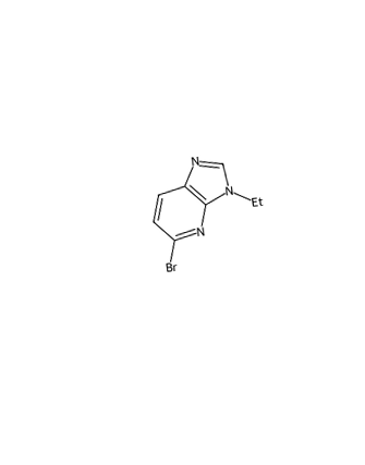 CCn1cnc2ccc(Br)nc21